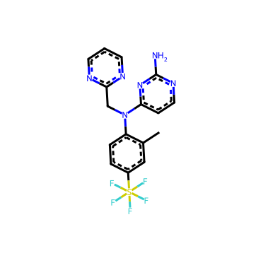 Cc1cc(S(F)(F)(F)(F)F)ccc1N(Cc1ncccn1)c1ccnc(N)n1